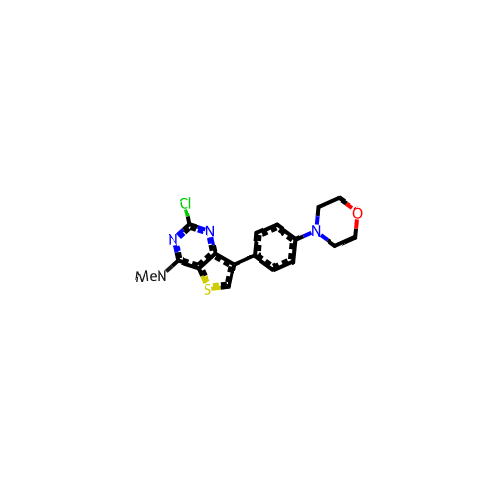 CNc1nc(Cl)nc2c(-c3ccc(N4CCOCC4)cc3)csc12